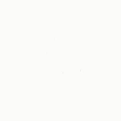 CCC1(C)C2CC[C@H](C(=O)OC)C21